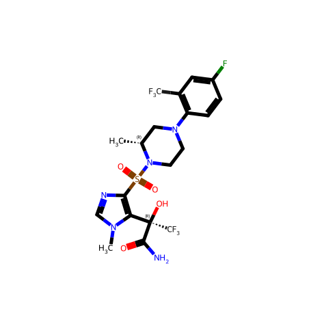 C[C@@H]1CN(c2ccc(F)cc2C(F)(F)F)CCN1S(=O)(=O)c1ncn(C)c1[C@@](O)(C(N)=O)C(F)(F)F